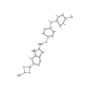 OC1CN(c2ccc3nc(NCc4ccc(Oc5ccc(Cl)cc5)cc4)[nH]c3c2)C1